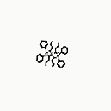 CCCC(Oc1ccccc1)[B-](C(CCC)Oc1ccccc1)(C(CCC)Oc1ccccc1)C(CCC)Oc1ccccc1